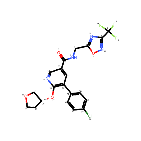 O=C(NCc1nc(C(F)(F)F)no1)c1cnc(O[C@@H]2CCOC2)c(-c2ccc(Cl)cc2)c1